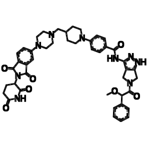 COC(C(=O)N1Cc2[nH]nc(NC(=O)c3ccc(N4CCC(CN5CCN(c6ccc7c(c6)C(=O)N(C6CCC(=O)NC6=O)C7=O)CC5)CC4)cc3)c2C1)c1ccccc1